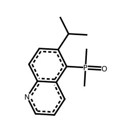 CC(C)c1ccc2ncccc2c1P(C)(C)=O